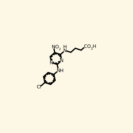 O=C(O)CCCNc1nc(Nc2ccc(Cl)cc2)ncc1[N+](=O)[O-]